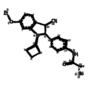 CCOc1ccc2c(c1)N(C1CCC1)C(c1ccc(NC(=O)N[C@@H](C)CC)cc1)C2C#N